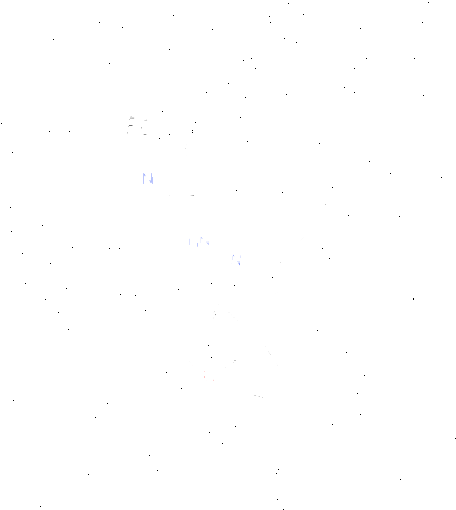 Cc1cc(CNCC[C@@]2(c3ccc(C4CCC4)cn3)CCOC3(CCCC3)C2)cnc1C(F)(F)F